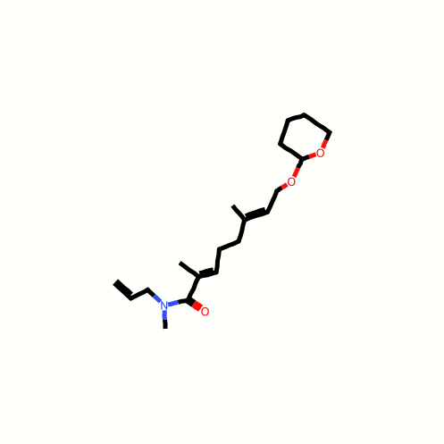 C=CCN(C)C(=O)/C(C)=C/CC/C(C)=C/COC1CCCCO1